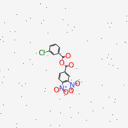 O=C(OC(=O)c1ccc([N+](=O)[O-])c([N+](=O)[O-])c1)c1cccc(Cl)c1